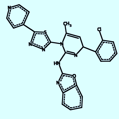 CC1=CC(c2ccccc2Cl)N=C(Nc2nc3ccccc3o2)N1c1nnc(-c2ccncc2)s1